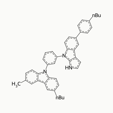 CCCCc1ccc(-c2ccc3c(c2)c2cc[nH]c2n3-c2cccc(-n3c4ccc(C)cc4c4cc(CCCC)ccc43)c2)cc1